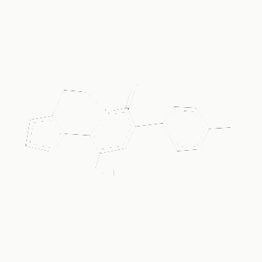 O=C(O)c1cc(-c2ccc(F)cc2)c(=O)n2c1-c1sccc1CC2